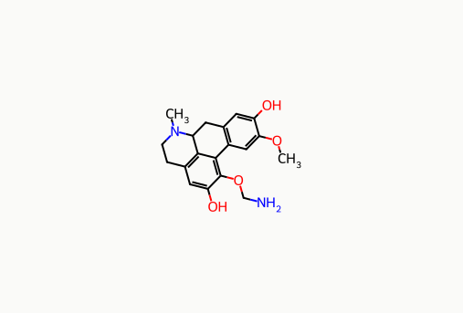 COc1cc2c(cc1O)CC1c3c(cc(O)c(OCN)c3-2)CCN1C